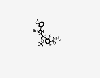 COc1cccc(-c2nc(C(COC(C)=O)Oc3ccc(F)c(C(N)=O)c3F)oc2Br)c1